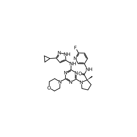 C[C@@]1(C(=O)Nc2ccc(F)nc2)CCCN1c1nc(Nc2cc(C3CC3)n[nH]2)nc(N2CCOCC2)n1